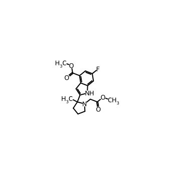 COC(=O)CN1CCCC1(C)c1cc2c(C(=O)OC)cc(F)cc2[nH]1